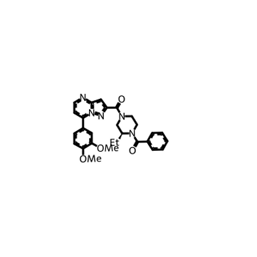 CC[C@H]1CN(C(=O)c2cc3nccc(-c4ccc(OC)c(OC)c4)n3n2)CCN1C(=O)c1ccccc1